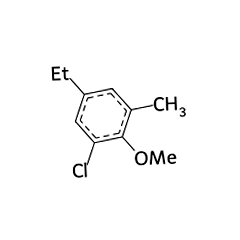 CCc1cc(C)c(OC)c(Cl)c1